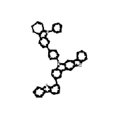 C1=Cc2c(c3ccc(-c4ccc(-n5c6ccc(-c7cccc8c7sc7ccccc78)cc6c6cc7oc8ccccc8c7cc65)cc4)cc3n2-c2ccccc2)CC1